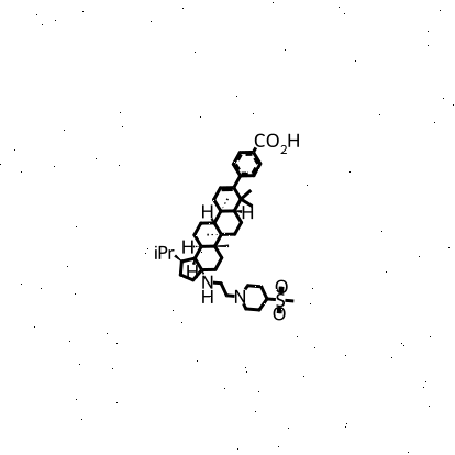 CC(C)[C@@H]1CC[C@]2(NCCN3CCC(S(C)(=O)=O)CC3)CC[C@]3(C)[C@H](CC[C@@H]4[C@@]5(C)CC=C(c6ccc(C(=O)O)cc6)C(C)(C)[C@@H]5CC[C@]43C)[C@@H]12